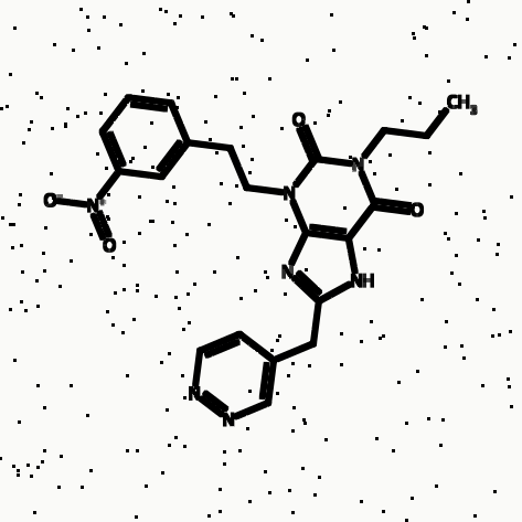 CCCn1c(=O)c2[nH]c(Cc3ccnnc3)nc2n(CCc2cccc([N+](=O)[O-])c2)c1=O